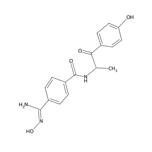 CC(NC(=O)c1ccc(C(N)=NO)cc1)C(=O)c1ccc(O)cc1